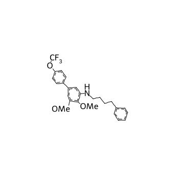 COc1cc(-c2ccc(OC(F)(F)F)cc2)cc(NCCCCc2ccccc2)c1OC